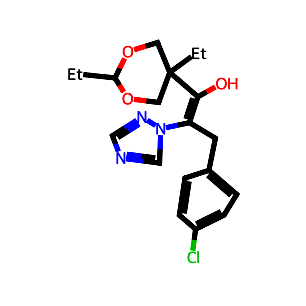 CCC1OCC(CC)(C(O)=C(Cc2ccc(Cl)cc2)n2cncn2)CO1